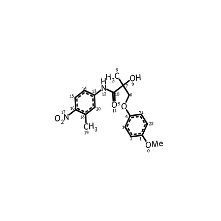 COc1ccc(OCC(C)(O)C(=O)Nc2ccc([N+](=O)[O-])c(C)c2)cc1